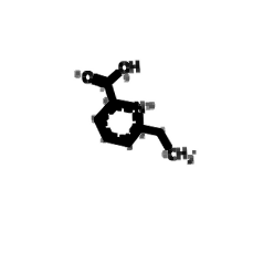 [CH2]Cc1cccc(C(=O)O)n1